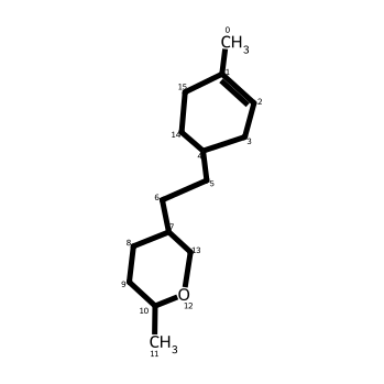 CC1=CCC(CCC2CCC(C)OC2)CC1